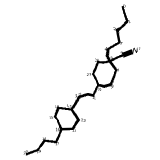 CCCCCC1(C#N)CCC(CCC2CCC(CCCC)CC2)CC1